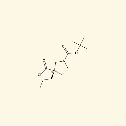 CCC[C@]1(C(=O)Cl)CCN(C(=O)OC(C)(C)C)C1